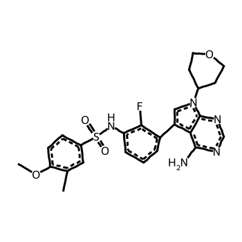 COc1ccc(S(=O)(=O)Nc2cccc(-c3cn(C4CCOCC4)c4ncnc(N)c34)c2F)cc1C